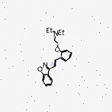 CCN(CC)CCOc1ccccc1/C=C/c1noc2ccccc12